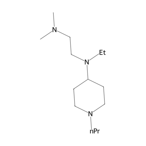 CCCN1CCC(N(CC)CCN(C)C)CC1